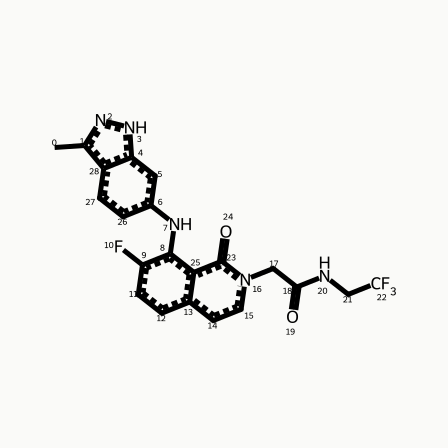 Cc1n[nH]c2cc(Nc3c(F)ccc4ccn(CC(=O)NCC(F)(F)F)c(=O)c34)ccc12